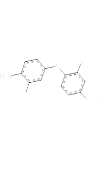 Nc1ccc(Nc2ccc(S(=O)(=O)O)cc2[N+](=O)[O-])cc1Cl